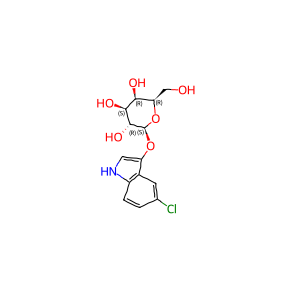 OC[C@H]1O[C@@H](Oc2c[nH]c3ccc(Cl)cc23)[C@H](O)[C@@H](O)[C@H]1O